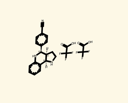 N#Cc1ccc([C@@H]2Nc3ccccc3[C@@H]3NCC[C@H]23)cc1.O=C(O)C(F)(F)F.O=C(O)C(F)(F)F